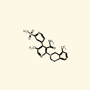 NC(=O)c1c(N2CCc3cccc(C(F)(F)F)c3C2)ncc(C(F)(F)F)c1-c1ccnc(S(N)(=O)=O)c1